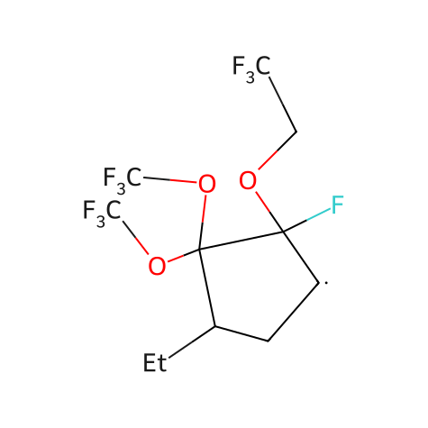 [CH2]CC1C[CH]C(F)(OCC(F)(F)F)C1(OC(F)(F)F)OC(F)(F)F